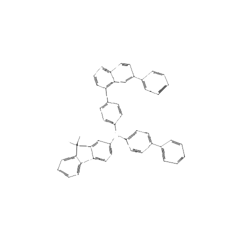 CC1(C)c2ccccc2-c2ccc(N(c3ccc(-c4ccccc4)cc3)c3ccc(-c4cccc5ccc(-c6ccccc6)cc45)cc3)cc21